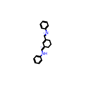 C1=C(/C=N/c2ccccc2)CCC/C1=C\Nc1ccccc1